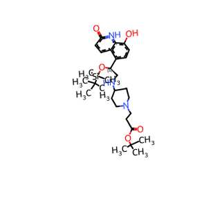 CC(C)(C)OC(=O)CCN1CCC(NC[C@@H](O[Si](C)(C)C(C)(C)C)c2ccc(O)c3[nH]c(=O)ccc23)CC1